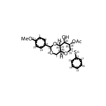 COc1ccc(C2OC[C@H]3O[C@@H](Sc4ccccc4)[C@H](OC(C)=O)[C@H](O)[C@H]3O2)cc1